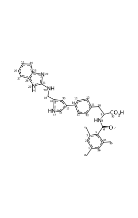 Cc1cc(C)c(C(=O)NC(Cc2ccc(-c3c[nH]c(CNc4nc5ccccc5[nH]4)c3)cc2)C(=O)O)c(C)c1